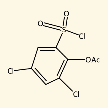 CC(=O)Oc1c(Cl)cc(Cl)cc1S(=O)(=O)Cl